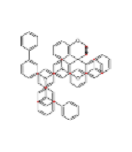 c1ccc(-c2cccc(N(c3cccc(-c4ccccc4)c3)c3ccc4c(c3)Oc3ccccc3C43c4ccccc4Oc4cccc(N(c5cccc(-c6ccccc6)c5)c5cccc(-c6ccccc6)c5)c43)c2)cc1